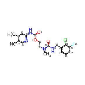 Cc1cc(NC(=O)OCCN(C)C(=O)NCc2cccc(F)c2Cl)ncc1C#N